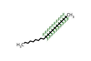 CCCCCCCCCC(F)(F)C(F)(F)C(F)(F)C(F)(F)C(F)(F)C(F)(F)C(F)(F)C(F)(F)C(F)(F)C(C)(F)F